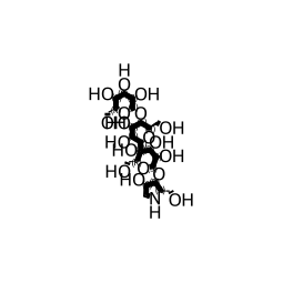 OC[C@@H]1NC[C@H](O)[C@@H]1O[C@H]1O[C@H](CO)[C@@](O)([C@@H]2O[C@H](CO)[C@@H](O[C@@H]3O[C@H](CO)[C@@H](O)[C@H](O)[C@H]3O)[C@H](O)[C@H]2O)[C@H](O)[C@H]1O